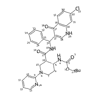 CC(C)(C)OC(=O)NC1CCN(c2ccccn2)CC1C(=O)NC(c1ccccc1)c1c[nH]c2cc(Cl)ccc2c1=O